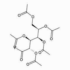 CC(=O)OC[C@@H](OC(C)=O)[C@@H](OC(C)=O)[C@H](OC(C)=O)[C@H](OC(C)=O)C(=O)F